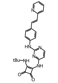 CC(C)(C)Nc1c(Nc2ccnc(Nc3ccc(C=Cc4ccccn4)cc3)n2)c(=O)c1=O